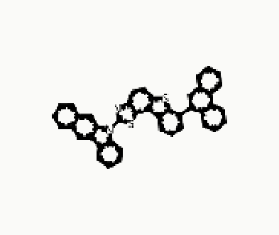 c1ccc2cc3c(cc2c1)c1ccccc1n3-c1nc2ccc3sc4c(-c5cc6ccccc6c6ccccc56)cccc4c3c2s1